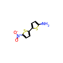 Nc1ccc(-c2ccc([N+](=O)[O-])s2)s1